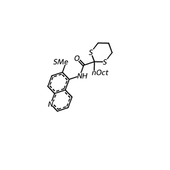 CCCCCCCCC1(C(=O)Nc2c(SC)ccc3ncccc23)SCCCS1